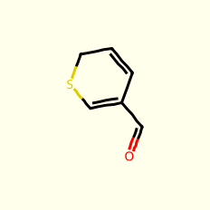 O=CC1=CSCC=C1